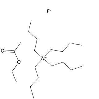 CCCC[N+](CCCC)(CCCC)CCCC.CCOC(C)=O.[F-]